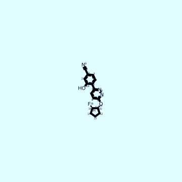 N#Cc1ccc(-c2ccc(O[C@H]3CCC[C@H]3F)nn2)c(O)c1